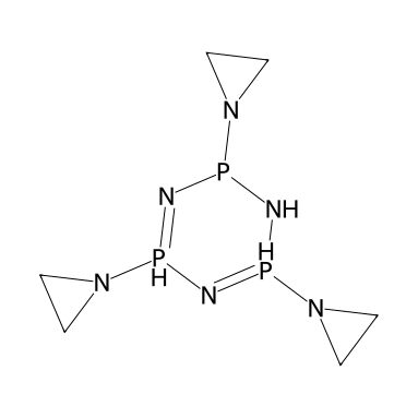 C1CN1P1N=[PH](N2CC2)N=[PH](N2CC2)N1